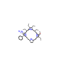 CCC1=C(CC)c2nc1c(CC)c1c(N)c(-c3ccccc3)c(cc3nc(cc4c(CC)c(CC)c(c2CC)n4CC)C=C3)n1CC